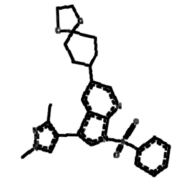 Cc1nn(C)cc1-c1cn(S(=O)(=O)c2ccccc2)c2ncc(C3CCC4(CC3)OCCO4)cc12